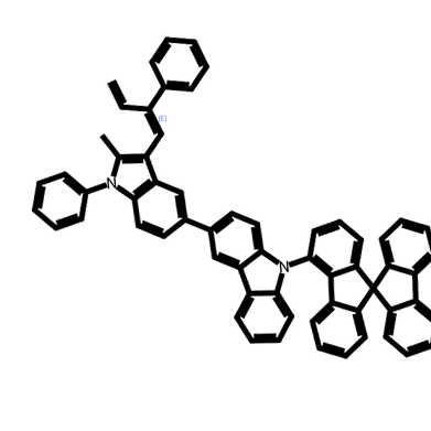 C=C/C(=C\c1c(C)n(-c2ccccc2)c2ccc(-c3ccc4c(c3)c3ccccc3n4-c3cccc4c3-c3ccccc3C43c4ccccc4-c4ccccc43)cc12)c1ccccc1